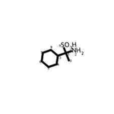 CC(N)(C1CCCCC1)S(=O)(=O)O